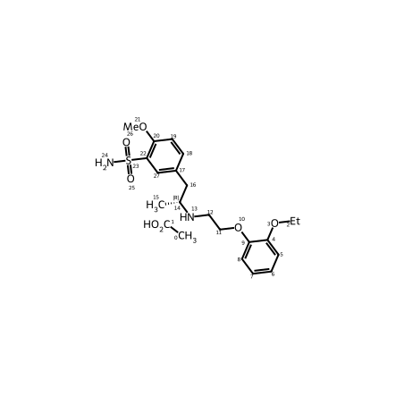 CC(=O)O.CCOc1ccccc1OCCN[C@H](C)Cc1ccc(OC)c(S(N)(=O)=O)c1